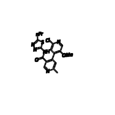 CCCc1nnc(NC(=O)c2cnc(C)cc2-c2cc(Cl)ncc2OC)s1